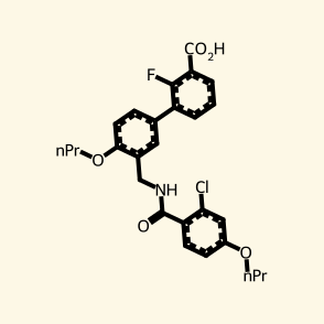 CCCOc1ccc(C(=O)NCc2cc(-c3cccc(C(=O)O)c3F)ccc2OCCC)c(Cl)c1